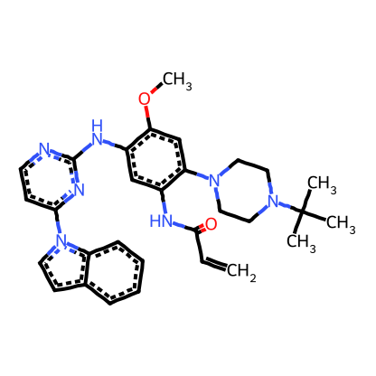 C=CC(=O)Nc1cc(Nc2nccc(-n3ccc4ccccc43)n2)c(OC)cc1N1CCN(C(C)(C)C)CC1